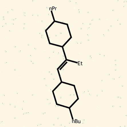 CCCCC1CCC(/C=C(\CC)C2CCC(CCC)CC2)CC1